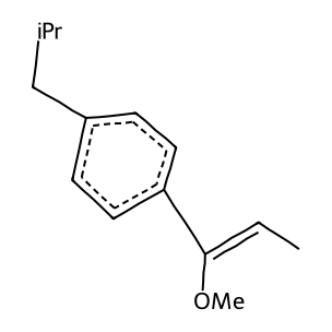 CC=C(OC)c1ccc(CC(C)C)cc1